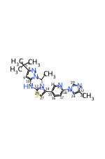 CCn1nc(C(C)(C)C)cc1Nc1nc(-c2ccc(-n3cnc(C)c3)nc2)cs1